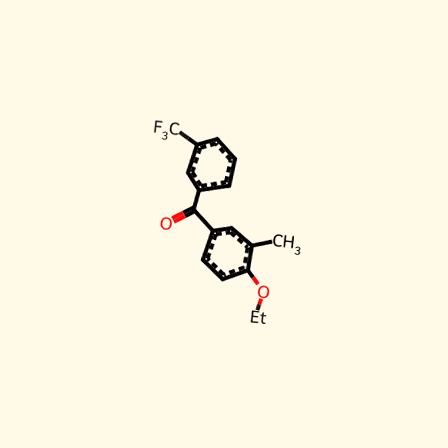 CCOc1ccc(C(=O)c2cccc(C(F)(F)F)c2)cc1C